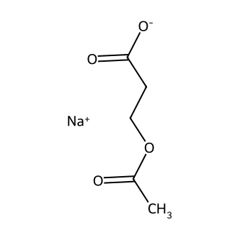 CC(=O)OCCC(=O)[O-].[Na+]